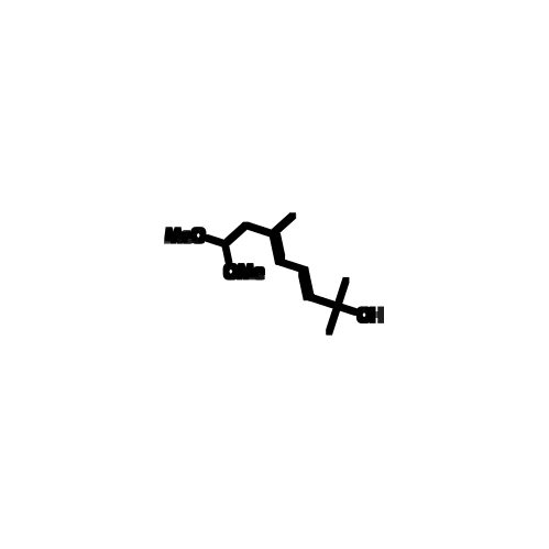 COC(CC(C)=CC=CC(C)(C)O)OC